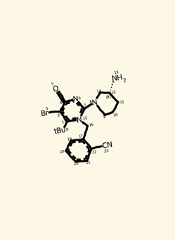 CC(C)(C)c1c(Br)c(=O)nc(N2CCC[C@@H](N)C2)n1Cc1ccccc1C#N